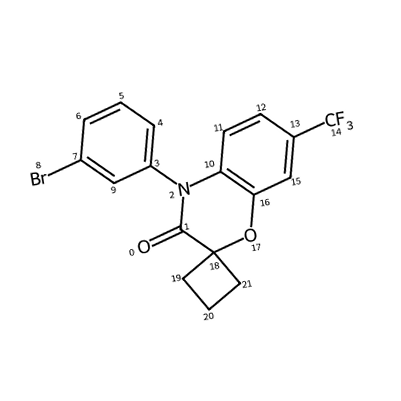 O=C1N(c2cccc(Br)c2)c2ccc(C(F)(F)F)cc2OC12CCC2